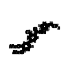 COc1cc(-c2ccc(C(=O)Nc3cnn(CC(F)(F)F)c3)c(Cl)n2)cnc1OC